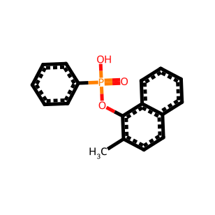 Cc1ccc2ccccc2c1OP(=O)(O)c1ccccc1